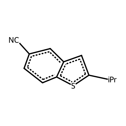 CC(C)c1cc2cc(C#N)ccc2s1